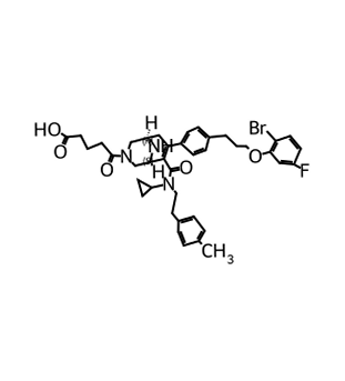 Cc1ccc(CCN(C(=O)C2=C(c3ccc(CCCOc4cc(F)ccc4Br)cc3)C[C@@H]3CN(C(=O)CCCC(=O)O)C[C@H]2N3)C2CC2)cc1